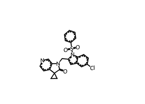 O=C1N(Cc2cc3cc(Cl)ccc3n2S(=O)(=O)c2ccccc2)c2cnccc2C12CC2